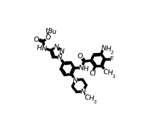 Cc1c(F)c(N)cc(C(=O)Nc2cc(-n3cc(NC(=O)OC(C)(C)C)nn3)ccc2N2CCN(C)CC2)c1Cl